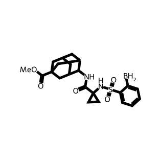 Bc1ccccc1S(=O)(=O)NC1(C(=O)NC2C3CC4CC2CC(C(=O)OC)(C4)C3)CC1